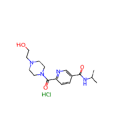 CC(C)NC(=O)c1ccc(C(=O)N2CCN(CCO)CC2)nc1.Cl